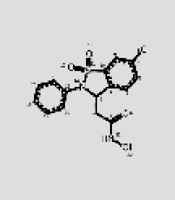 O=C(CC1c2ccc(Cl)cc2S(=O)(=O)N1c1ccccc1)NO